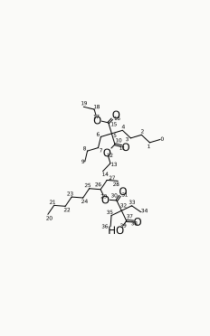 CCCCCC(CCCC)(C(=O)OCC)C(=O)OCC.CCCCCCC(CC)OC(=O)C(CC)(CC)C(=O)O